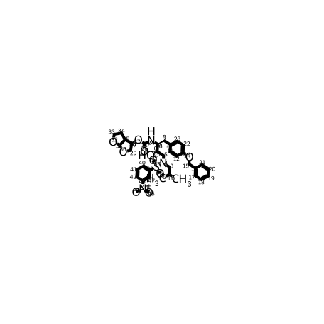 CC(C)CN(C[C@@H](O)[C@H](Cc1ccc(OCc2ccccc2)cc1)NC(=O)O[C@H]1COC2OCCC21)S(=O)(=O)c1cccc([N+](=O)[O-])c1